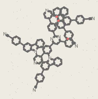 N#Cc1ccc(-c2ccc3c(c2)c2ccccc2n3-c2cnccc2-c2ccc(-c3cc(-c4ccccc4)nc(-c4ccc(-c5ccncc5-n5c6ccccc6c6cc(-c7ccc(C#N)cc7)ccc65)c(-n5c6ccccc6c6cc(-c7ccc(C#N)cc7)ccc65)c4)n3)cc2-n2c3ccccc3c3cc(-c4ccc(C#N)cc4)ccc32)cc1